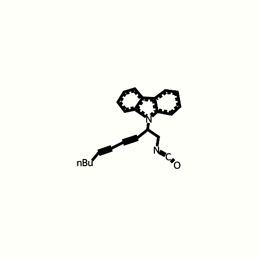 CCCCC#CC#CC(CN=C=O)n1c2ccccc2c2ccccc21